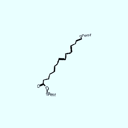 CCCCCC=CCC=CCC=CCC=CCCCC(=O)OCCCCC